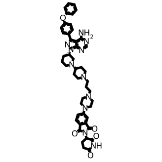 Nc1ncnc2c1c(-c1ccc(Oc3ccccc3)cc1)nn2[C@@H]1CCCN(C2CCN(CCCN3CCN(c4ccc5c(c4)C(=O)N(C4CCC(=O)NC4=O)C5=O)CC3)CC2)C1